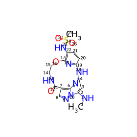 CNc1cc2nc3c(cnn13)C(=O)NCCOc1nc(ccc1NS(C)(=O)=O)N2